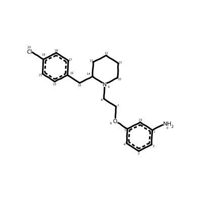 Nc1cccc(OCCN2CCCCC2Cc2ccc(Cl)cc2)c1